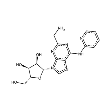 NCc1nc(Nc2ccccn2)c2ncn([C@@H]3O[C@H](CO)[C@@H](O)[C@H]3O)c2n1